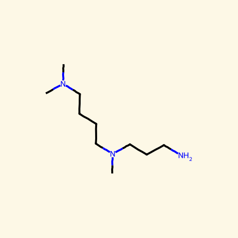 CN(C)CCCCN(C)CCCN